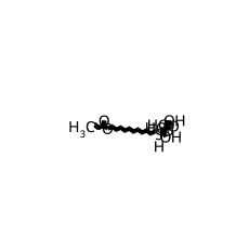 CC=CC(=O)OCCCCCCCCCCC[SH]=P(O)(O)OP(=O)(O)O